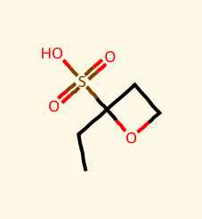 CCC1(S(=O)(=O)O)CCO1